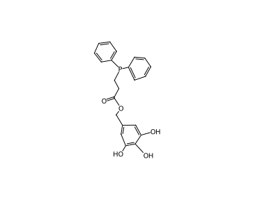 O=C(CCP(c1ccccc1)c1ccccc1)OCc1cc(O)c(O)c(O)c1